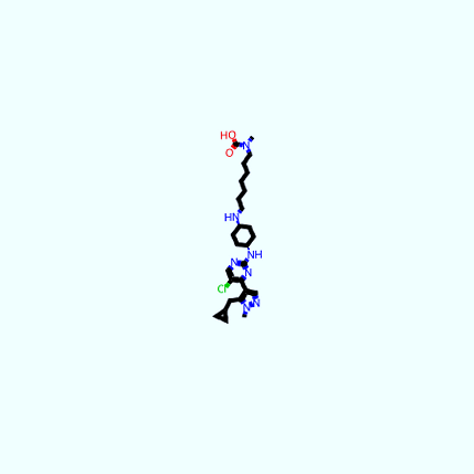 CN(CCCCCCCN[C@H]1CC[C@H](Nc2ncc(Cl)c(-c3cnn(C)c3CC3CC3)n2)CC1)C(=O)O